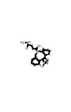 CNC(=O)CCC(=O)N1Cc2ccccc2-c2c(nnn2C)-c2ccccc21